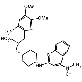 COc1cc(CN(C[C@H]2CC[C@@H](Nc3cc(N(C)C)c4ccccc4n3)CC2)C(=O)O)c([N+](=O)[O-])cc1OC